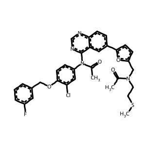 CSCCN(Cc1ccc(-c2ccc3ncnc(N(C(C)=O)c4ccc(OCc5cccc(F)c5)c(Cl)c4)c3c2)o1)C(C)=O